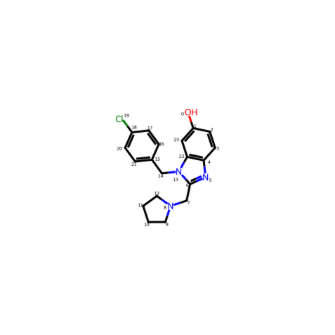 Oc1ccc2nc(CN3CCCC3)n(Cc3ccc(Cl)cc3)c2c1